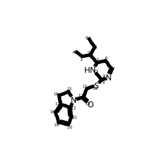 CCC(CC)C1CC=NC(SCC(=O)N2CCc3ccccc32)N1